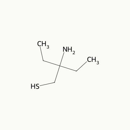 CCC(N)(CC)CS